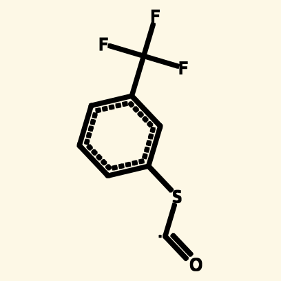 O=[C]Sc1cccc(C(F)(F)F)c1